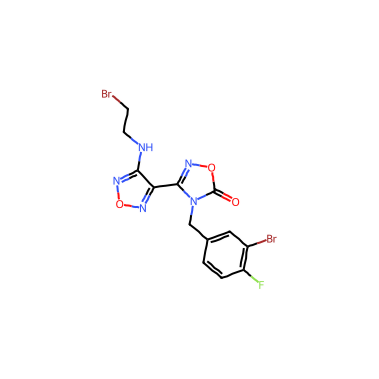 O=c1onc(-c2nonc2NCCBr)n1Cc1ccc(F)c(Br)c1